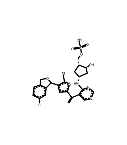 C=C(c1cc(C2OCc3ccc(Cl)cc32)c(Cl)s1)c1cncnc1N[C@@H]1C[C@H](COS(N)(=O)=O)[C@@H](O)C1